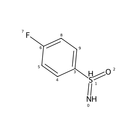 N=[SH](=O)c1ccc(F)cc1